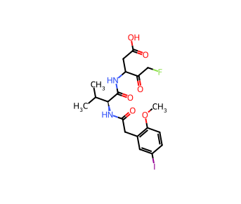 COc1ccc(I)cc1CC(=O)N[C@H](C(=O)NC(CC(=O)O)C(=O)CF)C(C)C